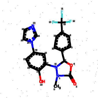 CN1C(=O)OC(c2ccc(C(F)(F)F)cc2)N1c1cc(-n2ccnc2)ccc1O